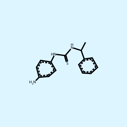 CC(NC(=S)Nc1ccc(N)cc1)c1ccccc1